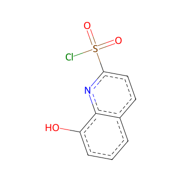 O=S(=O)(Cl)c1ccc2cccc(O)c2n1